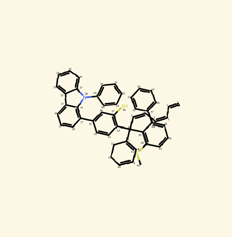 C=C/C=C\C=C/C(C1=CC=CCC1)(c1ccc(-c2cccc3c4ccccc4n(-c4ccccc4)c23)cc1S)c1c(SC)cccc1-c1ccccc1